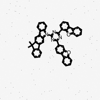 CC1(C)c2ccccc2-c2cc3c(cc21)c1ccccc1n3-c1nc(-c2ccc3c(c2)oc2ccccc23)nc(-c2cccc3c2oc2ccccc23)n1